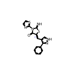 N=C1S/C(=C\c2c[nH]nc2-c2ccccc2)C(=O)N1c1nccs1